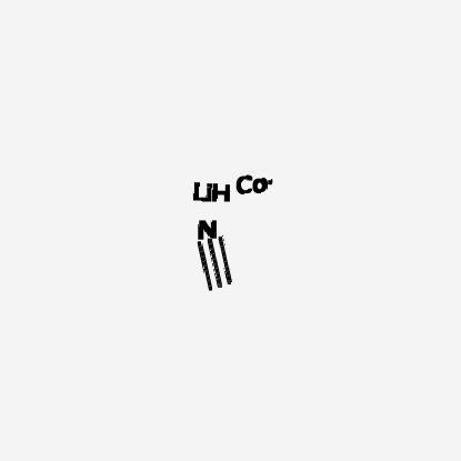 C#N.[Co].[LiH]